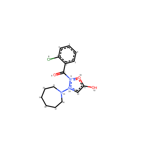 O=C(c1ccccc1Cl)[n+]1oc(O)c[n+]1N1CCCCCC1